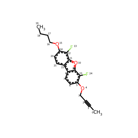 CC#CCOc1ccc2c(oc3c(F)c(OCCCC)ccc32)c1F